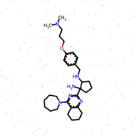 CN(C)CCCOc1ccc(CNC2CCCC2(N)c2nc3c(c(N4CCCCCC4)n2)CCCC3)cc1